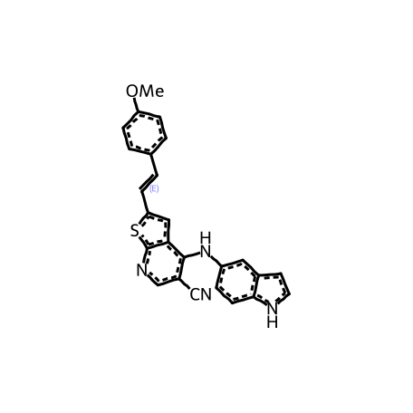 COc1ccc(/C=C/c2cc3c(Nc4ccc5[nH]ccc5c4)c(C#N)cnc3s2)cc1